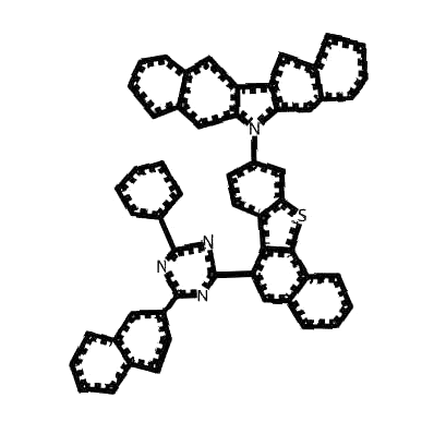 c1ccc(-c2nc(-c3ccc4ccccc4c3)nc(-c3cc4ccccc4c4sc5cc(-n6c7cc8ccccc8cc7c7cc8ccccc8cc76)ccc5c34)n2)cc1